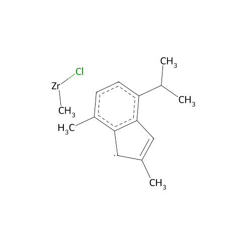 CC1=Cc2c(C(C)C)ccc(C)c2[CH]1.[CH3][Zr][Cl]